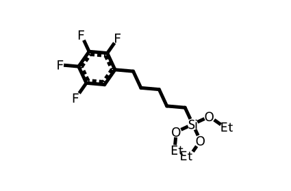 CCO[Si](CCCCCc1cc(F)c(F)c(F)c1F)(OCC)OCC